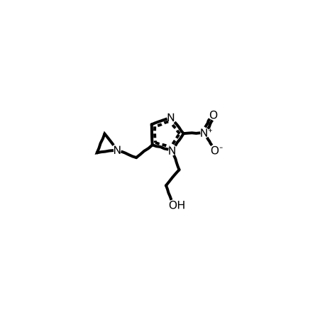 O=[N+]([O-])c1ncc(CN2CC2)n1CCO